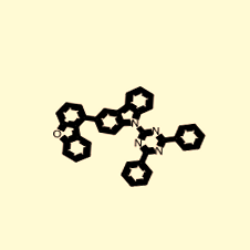 c1ccc(-c2nc(-c3ccccc3)nc(-n3c4ccccc4c4cc(-c5cccc6oc7ccccc7c56)ccc43)n2)cc1